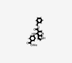 COC(=O)C1CCC(Nc2c(C(=O)OCc3ccccc3)cnc3[nH]ccc23)CC1